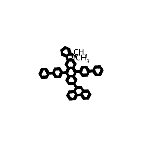 C[Si]1(C)c2ccccc2-c2cc3c(-c4ccc(-c5ccccc5)cc4)c4ccc(-c5cc6ccccc6c6ccccc56)cc4c(-c4ccc(-c5ccccc5)cc4)c3cc21